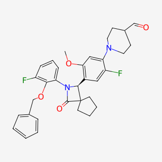 COc1cc(N2CCC(C=O)CC2)c(F)cc1[C@@H]1N(c2cccc(F)c2OCc2ccccc2)C(=O)C12CCCC2